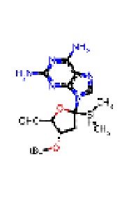 C[SiH](C)[C@@]1(n2cnc3c(N)nc(N)nc32)C[C@H](OC(C)(C)C)[C@@H](C=O)O1